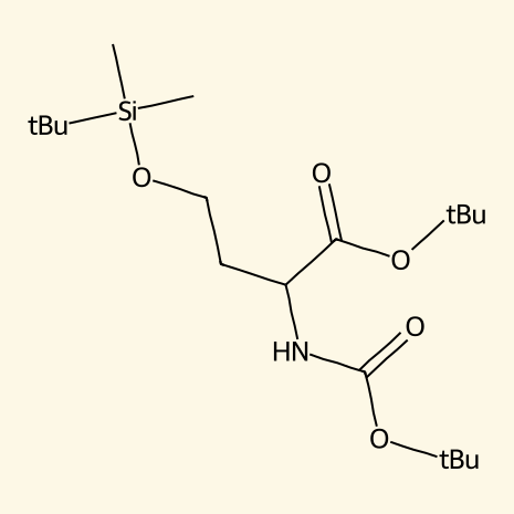 CC(C)(C)OC(=O)NC(CCO[Si](C)(C)C(C)(C)C)C(=O)OC(C)(C)C